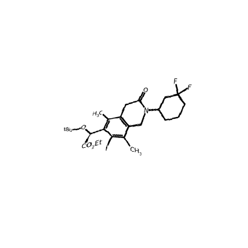 CCOC(=O)[C@@H](OC(C)(C)C)c1c(C)c2c(c(C)c1I)CN(C1CCCC(F)(F)C1)C(=O)C2